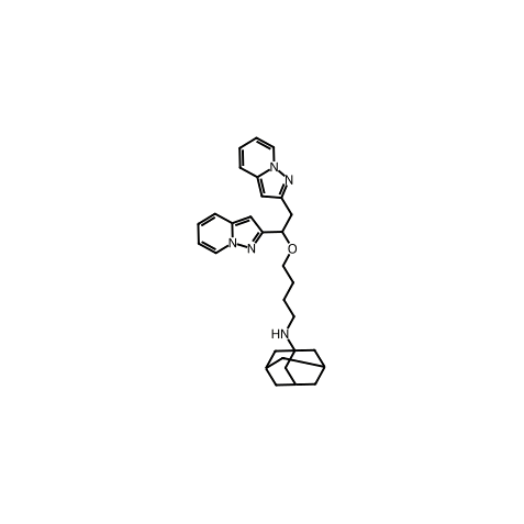 c1ccn2nc(CC(OCCCCNC34CC5CC(CC(C5)C3)C4)c3cc4ccccn4n3)cc2c1